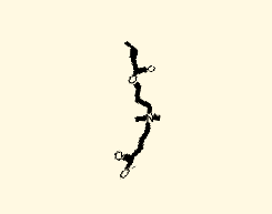 CC=CC(=O)OCCC[N+](C)(C)CCCC(=O)[O-]